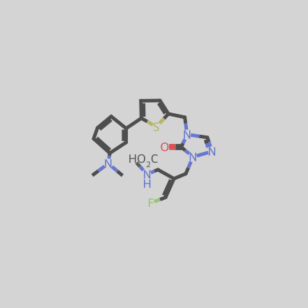 CN(C)c1cccc(-c2ccc(Cn3cnn(CC(=CF)CNC(=O)O)c3=O)s2)c1